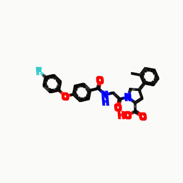 Cc1ccccc1C1CC(C(=O)O)N(C(=O)CNC(=O)c2ccc(Oc3ccc(F)cc3)cc2)C1